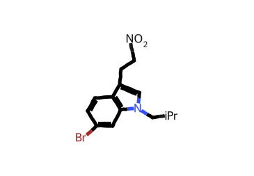 CC(C)Cn1cc(CC[N+](=O)[O-])c2ccc(Br)cc21